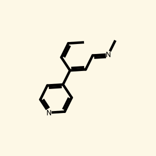 C\C=C/C(=C\C=N\C)c1ccncc1